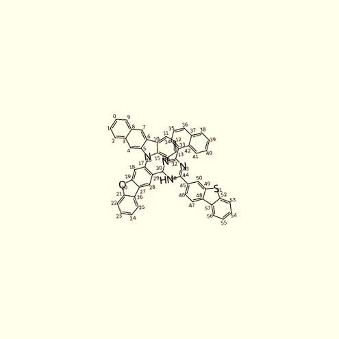 c1ccc2cc3c(cc2c1)c1ccccc1n3-c1cc2oc3ccccc3c2cc1C1N=C(c2cccc3ccccc23)N=C(c2ccc3c(c2)sc2ccccc23)N1